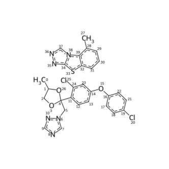 CC1COC(Cn2cncn2)(c2ccc(Oc3ccc(Cl)cc3)cc2Cl)O1.Cc1cccc2sc3nncn3c12